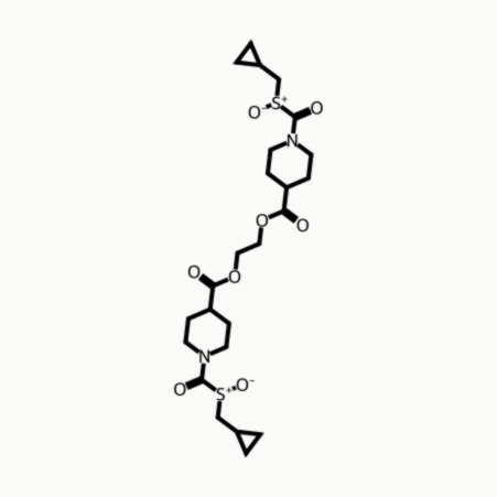 O=C(OCCOC(=O)C1CCN(C(=O)[S+]([O-])CC2CC2)CC1)C1CCN(C(=O)[S+]([O-])CC2CC2)CC1